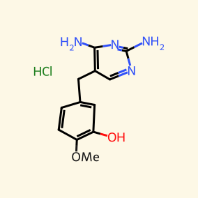 COc1ccc(Cc2cnc(N)nc2N)cc1O.Cl